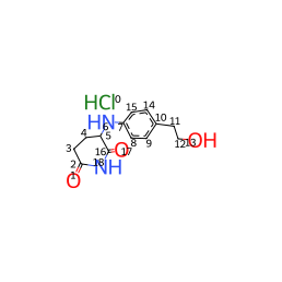 Cl.O=C1CCC(Nc2ccc(CCO)cc2)C(=O)N1